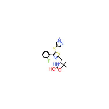 Cn1cc(Sc2sc(CC(NC(=O)O)C(C)(C)C)nc2-c2ccccc2F)cn1